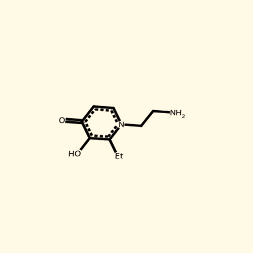 CCc1c(O)c(=O)ccn1CCN